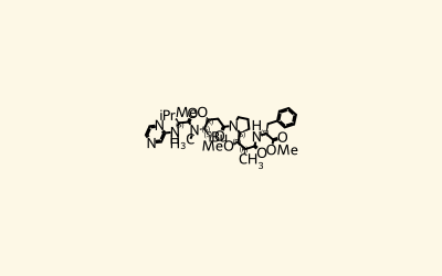 CC[C@H](C)[C@@H]([C@@H](CC(=O)N1CCC[C@H]1[C@H](OC)[C@@H](C)C(=O)N[C@@H](Cc1ccccc1)C(=O)OC)OC)N(C)C(=O)[C@@H](Nc1cnccn1)C(C)C